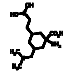 CN(C)CC1CC(CCB(O)O)CC(N)(C(=O)O)C1